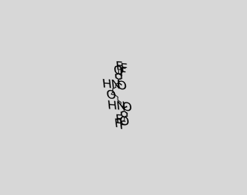 O=C(NCCCC1OC1CCNC(=O)c1ccc(OC(F)(F)F)cc1)c1ccc(OC(F)(F)F)cc1